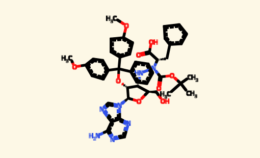 COc1ccc(C(O[C@@H]2[C@H](NN(C(=O)OC(C)(C)C)[C@@H](Cc3ccccc3)C(=O)O)[C@@H](CO)O[C@H]2n2cnc3c(N)ncnc32)(c2ccccc2)c2ccc(OC)cc2)cc1